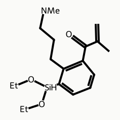 C=C(C)C(=O)c1cccc([SiH](OCC)OCC)c1CCCNC